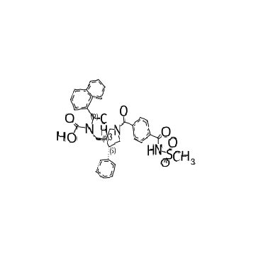 C[C@H](c1cccc2ccccc12)N(C[C@H]1CN(C(=O)c2ccc(C(=O)NS(C)(=O)=O)cc2)C[C@@H]1c1ccccc1)C(=O)O